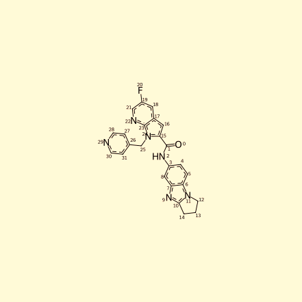 O=C(Nc1ccc2c(c1)nc1n2CCC1)c1cc2cc(F)cnc2n1Cc1ccncc1